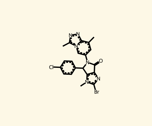 Cc1cc(N2C(=O)c3nc(Br)n(C)c3C2c2ccc(Cl)cc2)cn2c(C)nnc12